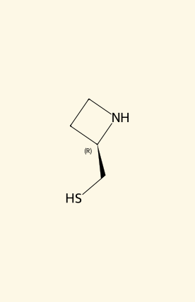 SC[C@H]1CCN1